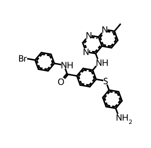 Cc1ccc2c(Nc3cc(C(=O)Nc4ccc(Br)cc4)ccc3Sc3ccc(N)cc3)ncnc2n1